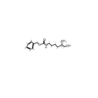 N[C@@H](CO)CCCCNC(=O)OCc1ccccc1